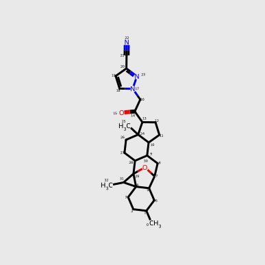 CC1CCC23C(C1)C1CC4C5CCC(C(=O)Cn6ccc(C#N)n6)C5(C)CCC4C2(O1)C3C